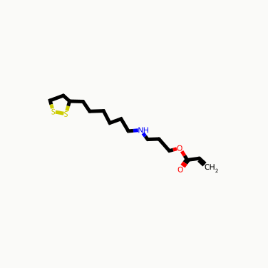 C=CC(=O)OCCCNCCCCCCC1CCSS1